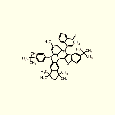 C/C=C(\c1ccccc1CI)N1c2c(sc3ccc(C(C)(C)C)cc23)B2C3=C(C=C(C)CC31)N(c1ccc(C(C)(C)C)cc1)c1cc3c(cc12)C(C)(C)CCC3(C)C